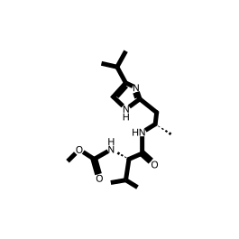 COC(=O)N[C@H](C(=O)N[C@@H](C)Cc1nc(C(C)C)c[nH]1)C(C)C